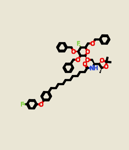 C[C@H]1OC(C)(C)O[C@H]1[C@H](CO[C@H]1OC(COCc2ccccc2)[C@@H](F)[C@H](OCc2ccccc2)C1OCc1ccccc1)NC(=O)CCCCCCCCCCc1ccc(Oc2ccc(F)cc2)cc1